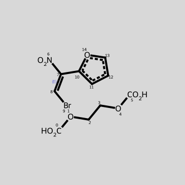 O=C(O)OCCOC(=O)O.O=[N+]([O-])/C(=C/Br)c1ccco1